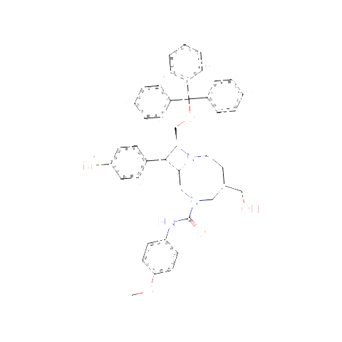 COc1ccc(NC(=O)N2CC(CO)CCN3C(C2)C(c2ccc(Br)cc2)[C@H]3COC(c2ccccc2)(c2ccccc2)c2ccccc2)cc1